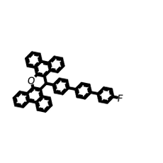 Fc1ccc(-c2ccc(-c3ccc(C4c5c(c6ccccc6c6ccccc56)Oc5c4c4ccccc4c4ccccc54)cc3)cc2)cc1